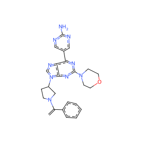 C=C(c1ccccc1)N1CCC(n2cnc3c(-c4cnc(N)nc4)nc(N4CCOCC4)nc32)C1